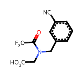 N#Cc1cccc(CN(CC(=O)O)C(=O)C(F)(F)F)c1